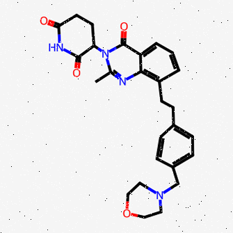 Cc1nc2c(CCc3ccc(CN4CCOCC4)cc3)cccc2c(=O)n1C1CCC(=O)NC1=O